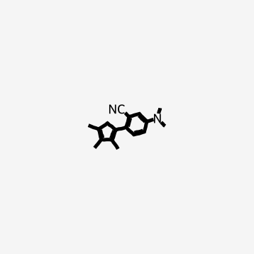 CC1=C(C)C(C)=C(c2ccc(N(C)C)cc2C#N)C1